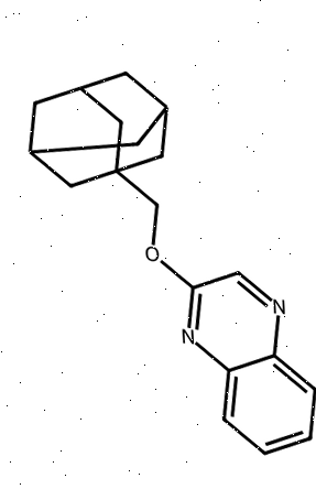 c1ccc2nc(OCC34CC5CC(CC(C5)C3)C4)cnc2c1